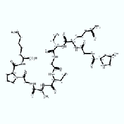 CC(=O)NCCCC[C@H](NC(=O)[C@@H]1CCCN1C(=O)CNC(=O)[C@H](C)NC(=O)[C@H](CC(C)C)NC(=O)CNC(=O)[C@H](CC(C)C)NC(=O)[C@H](CCCC(N)=O)NC(=O)CNC(=O)[C@@H]1C[C@@H](O)CN1)C(=O)O